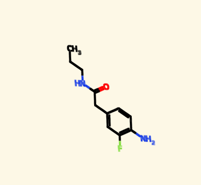 CCCNC(=O)Cc1ccc(N)c(F)c1